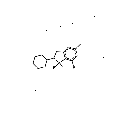 Cc1cc(F)c2c(c1)CC(C1CCCCC1)C2(F)F